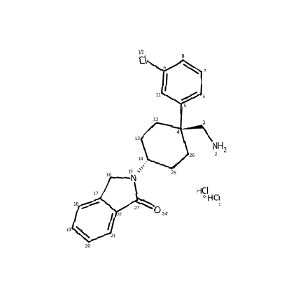 Cl.Cl.NC[C@]1(c2cccc(Cl)c2)CC[C@@H](N2Cc3ccccc3C2=O)CC1